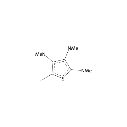 [CH2]c1sc(NC)c(NC)c1NC